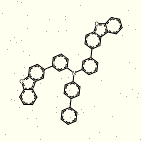 c1ccc(-c2ccc(N(c3cccc(-c4ccc5oc6ccccc6c5c4)c3)c3cccc(-c4ccc5oc6ccccc6c5c4)c3)cc2)cc1